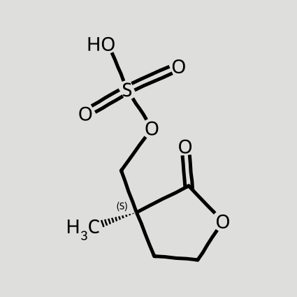 C[C@@]1(COS(=O)(=O)O)CCOC1=O